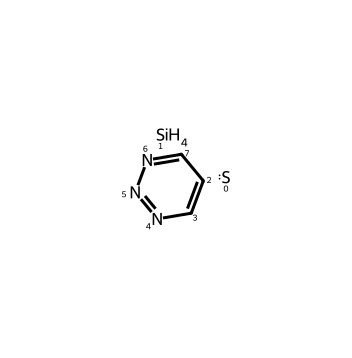 [S].[SiH4].c1cnnnc1